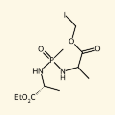 CCOC(=O)[C@@H](C)NP(C)(=O)NC(C)C(=O)OCI